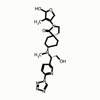 CC1=C(N2CC[C@]3(CC[C@H](N(C)[C@H](CO)c4ccc(-n5cnnn5)nc4)CC3)C2=O)COC1O